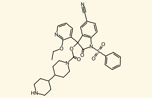 CCOc1ncccc1C1(OC(=O)N2CCC(C3CCNCC3)CC2)C(=O)N(S(=O)(=O)c2ccccc2)c2ccc(C#N)cc21